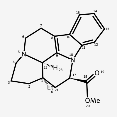 CC[C@@]12CCCN3CCc4c(n(c5ccccc45)[C@@H](C(=O)OC)C1)[C@H]32